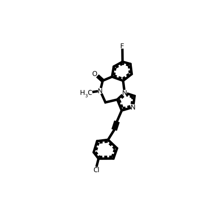 CN1Cc2c(C#Cc3ccc(Cl)cc3)ncn2-c2ccc(F)cc2C1=O